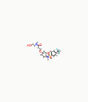 CN(CCO)C(=O)CCOC1CCC(N(C)S(=O)(=O)c2ccc(C(F)(F)F)cc2)CC1